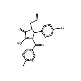 C=CCN1C(=O)C(O)=C(C(=O)c2ccc(C)cc2)C1c1ccc(C(C)C)cc1